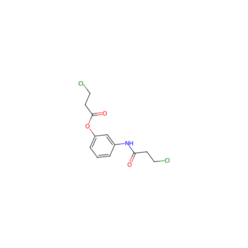 O=C(CCCl)Nc1cccc(OC(=O)CCCl)c1